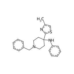 Cc1csc(C2(Nc3ccccc3)CCN(Cc3ccccc3)CC2)n1